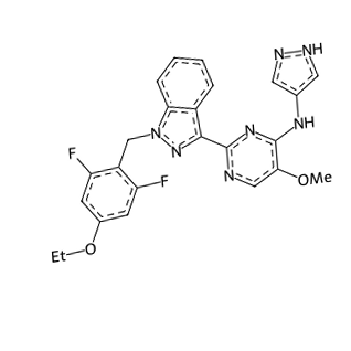 CCOc1cc(F)c(Cn2nc(-c3ncc(OC)c(Nc4cn[nH]c4)n3)c3ccccc32)c(F)c1